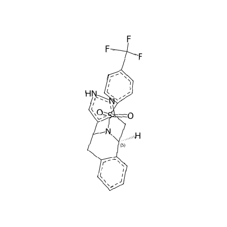 O=S(=O)(c1ccc(C(F)(F)F)cc1)N1C2Cc3ccccc3[C@@H]1Cc1n[nH]cc12